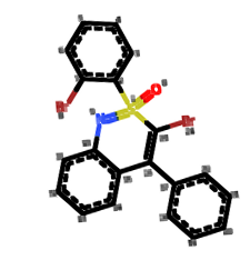 O=S1(c2ccccc2Br)=Nc2ccccc2C(c2ccccc2)=C1Br